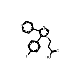 O=C(O)CCn1cnc(-c2ccncc2)c1-c1ccc(F)cc1